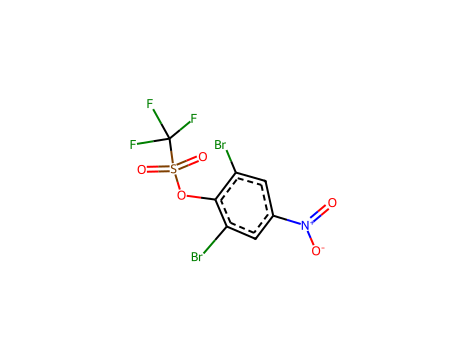 O=[N+]([O-])c1cc(Br)c(OS(=O)(=O)C(F)(F)F)c(Br)c1